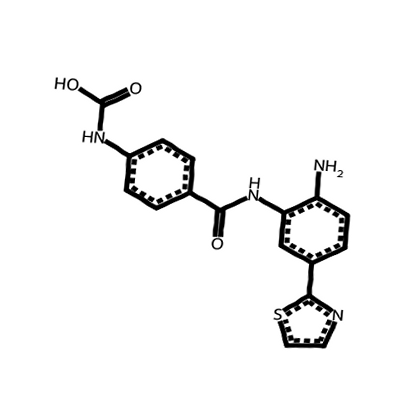 Nc1ccc(-c2nccs2)cc1NC(=O)c1ccc(NC(=O)O)cc1